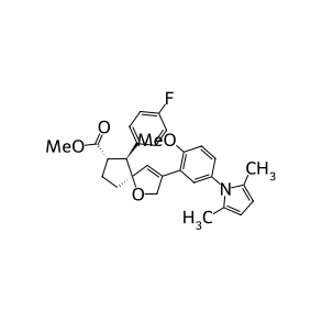 COC(=O)[C@H]1CC[C@@]2(C=C(c3cc(-n4c(C)ccc4C)ccc3OC)CO2)[C@@H]1c1ccc(F)cc1